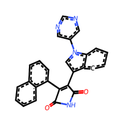 O=C1NC(=O)C(c2cn(-c3cncnc3)c3ccccc23)=C1c1cccc2ccccc12